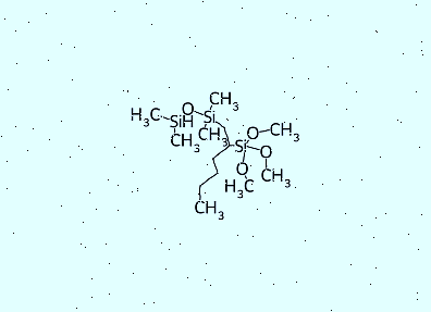 CCCCC(C[Si](C)(C)O[SiH](C)C)[Si](OC)(OC)OC